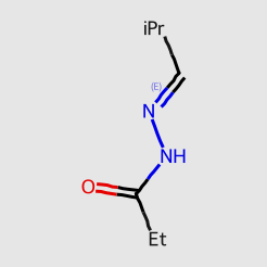 CCC(=O)N/N=C/C(C)C